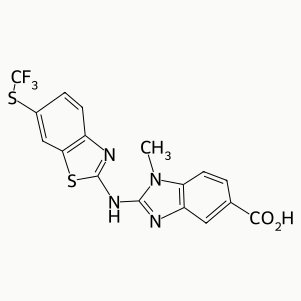 Cn1c(Nc2nc3ccc(SC(F)(F)F)cc3s2)nc2cc(C(=O)O)ccc21